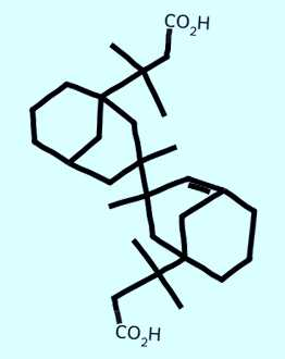 CC(C)(CC(=O)O)C12CCCC(=CC(C)(C3(C)CC4CCCC(C(C)(C)CC(=O)O)(C4)C3)C1)C2